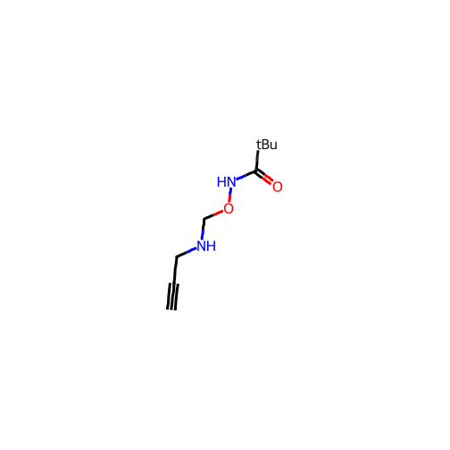 C#CCNCONC(=O)C(C)(C)C